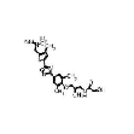 CCCCN(C)Cc1sc(-c2nc(-c3cc(C)c(OCC(O)CNC(=O)CO)c(C)c3)no2)cc1C